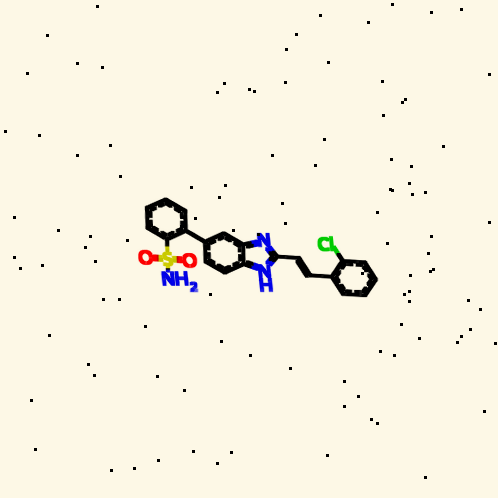 NS(=O)(=O)c1ccccc1-c1ccc2[nH]c(C=Cc3ccccc3Cl)nc2c1